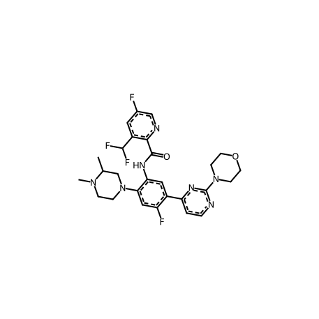 CC1CN(c2cc(F)c(-c3ccnc(N4CCOCC4)n3)cc2NC(=O)c2ncc(F)cc2C(F)F)CCN1C